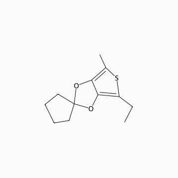 CCc1sc(C)c2c1OC1(CCCC1)O2